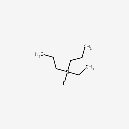 CCC[Si](F)(CC)CCC